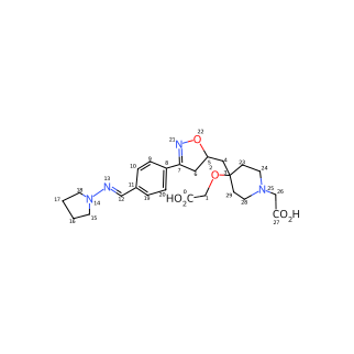 O=C(O)COC1(CC2CC(c3ccc(C=NN4CCCC4)cc3)=NO2)CCN(CC(=O)O)CC1